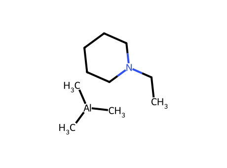 CCN1CCCCC1.[CH3][Al]([CH3])[CH3]